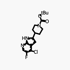 CC(C)(C)OC(=O)N1CCC(c2cc3c(Cl)c(F)cnc3[nH]2)CC1